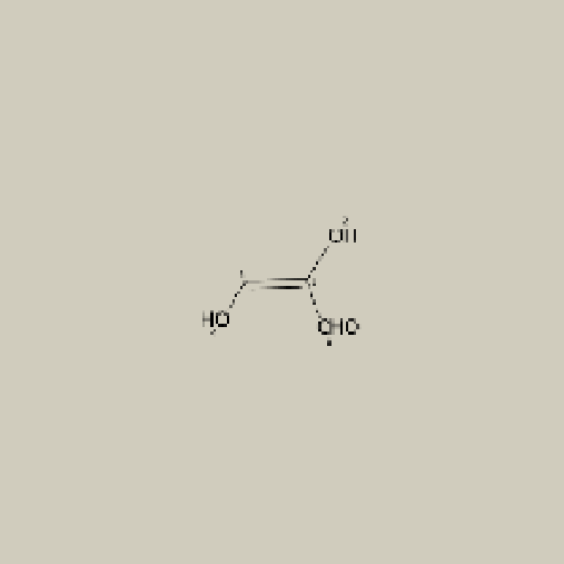 O=[C]/C(O)=C\O